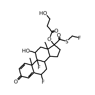 CC12C=CC(=O)C=C1C(F)CC1C3CCC(OC(=O)CCO)(C(=O)SCF)C3(C)CC(O)C12F